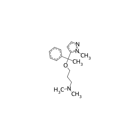 CN(C)CCCOC(C)(c1ccccc1)c1ccnn1C